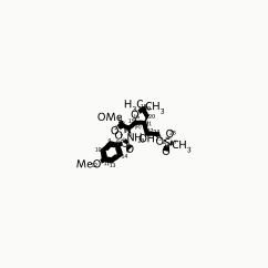 COC(=O)[C@H](NS(=O)(=O)c1ccc(OC)cc1)[C@@H]1OC(C)(C)C[C@H]1[C@H](O)COS(C)(=O)=O